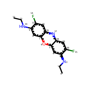 CCN=c1cc2oc3cc(NCC)c(F)cc3nc-2cc1F